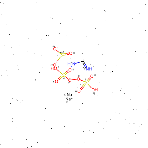 N=CN.O=S(=O)(O)OOS(=O)(=O)O.O=S([O-])[O-].[Na+].[Na+]